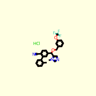 Cc1ccccc1-c1cc(C(OCc2cccc(OC(F)(F)F)c2)c2cncn2C)ccc1C#N.Cl